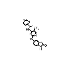 CC(Nc1nc(Nc2ccc3c(c2)CC(=O)N3)ncc1C(F)(F)F)c1ccncn1